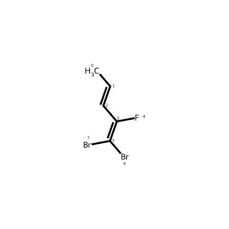 CC=CC(F)=C(Br)Br